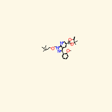 C=C1OB(c2cnc3c(c2)c(-c2ccccc2OC)nn3COCC[Si](C)(C)C)OC1(C)C